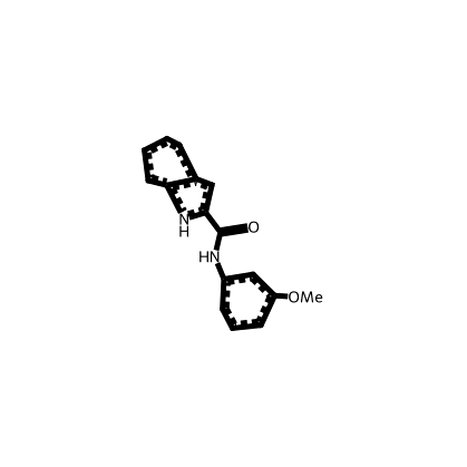 COc1cccc(NC(=O)c2cc3ccccc3[nH]2)c1